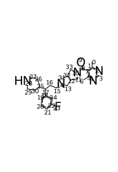 Cc1ncnc(C)c1C(=O)N1CC2CN(CCC(c3cccc(F)c3)C3CCNCC3)CC2C1